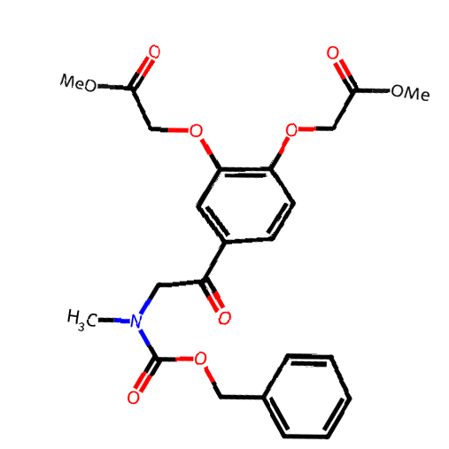 COC(=O)COc1ccc(C(=O)CN(C)C(=O)OCc2ccccc2)cc1OCC(=O)OC